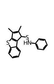 CC1=C(C)C(SNc2ccccc2)c2c1sc1ccccc21